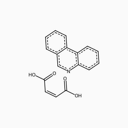 O=C(O)/C=C\C(=O)O.c1ccc2c(c1)cnc1ccccc12